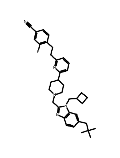 CC(C)(C)Cc1ccc2nc(CN3CCC(c4cccc(CCc5ccc(C#N)cc5F)n4)CC3)n(CC3CCC3)c2c1